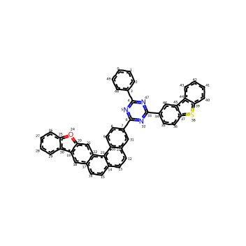 c1ccc(-c2nc(-c3ccc4c(ccc5ccc6cc7c(cc6c54)oc4ccccc47)c3)nc(-c3ccc4sc5ccccc5c4c3)n2)cc1